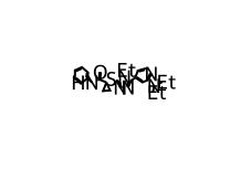 CCN(CC)c1cc(-c2nnc(SC3(C(=O)Nc4ccccc4)CC3)n2CC)ccn1